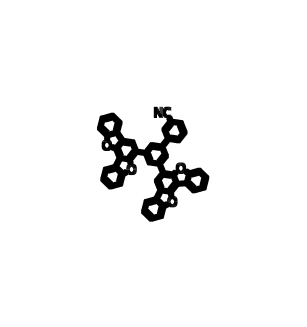 N#Cc1cccc(-c2cc(-c3cc4c5ccccc5oc4c4c3oc3ccccc34)cc(-c3cc4c5ccccc5oc4c4c3oc3ccccc34)c2)c1